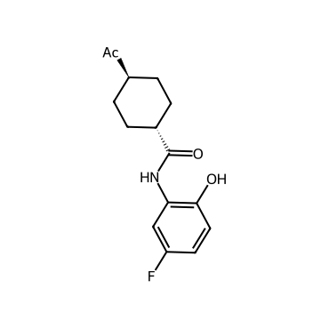 CC(=O)[C@H]1CC[C@H](C(=O)Nc2cc(F)ccc2O)CC1